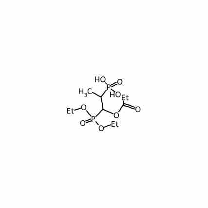 CCOP(=O)(OCC)C(OC(=O)CC)C(C)P(=O)(O)O